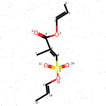 CC=COC(=O)C(C)=CS(=O)(=O)OC=CC